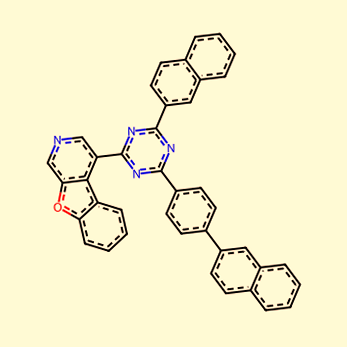 c1ccc2cc(-c3ccc(-c4nc(-c5ccc6ccccc6c5)nc(-c5cncc6oc7ccccc7c56)n4)cc3)ccc2c1